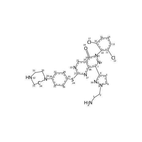 NCCn1ccc(-c2nn(-c3c(Cl)cccc3Cl)c(=O)c3cnc(Sc4ccc(N5CCNCC5)cc4)nc23)n1